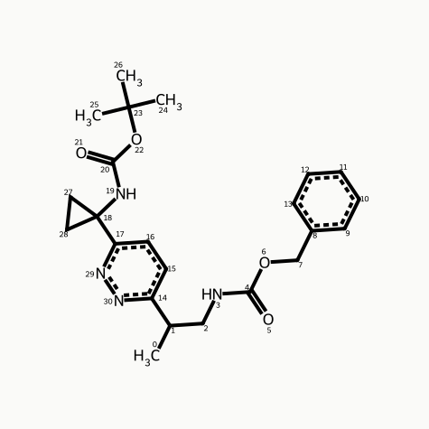 CC(CNC(=O)OCc1ccccc1)c1ccc(C2(NC(=O)OC(C)(C)C)CC2)nn1